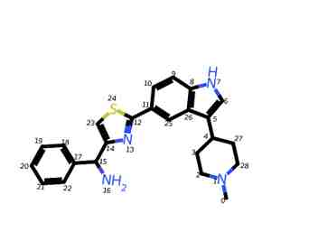 CN1CCC(c2c[nH]c3ccc(-c4nc(C(N)c5ccccc5)cs4)cc23)CC1